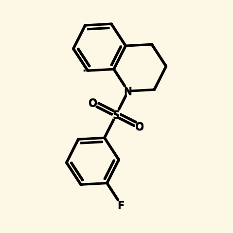 O=S(=O)(c1cccc(F)c1)N1CCCc2ccc[c]c21